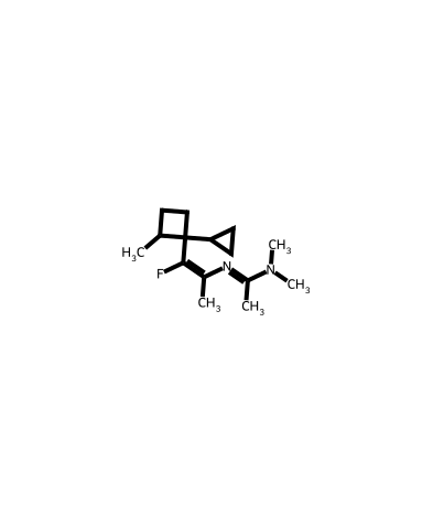 C/C(=N\C(C)=C(\F)C1(C2CC2)CCC1C)N(C)C